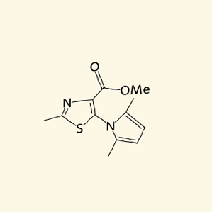 COC(=O)c1nc(C)sc1-n1c(C)ccc1C